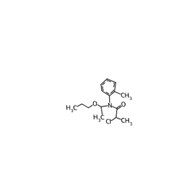 CCCOC(C)N(C(=O)C(C)Cl)c1ccccc1C